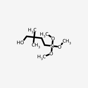 CO[Si](CCC(C)(C)CO)(OC)OC